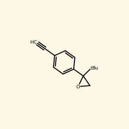 C#Cc1ccc(C2(C(C)(C)C)CO2)cc1